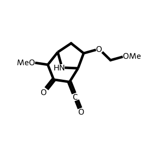 COCOC1CC2NC1C(=C=O)C(=O)C2OC